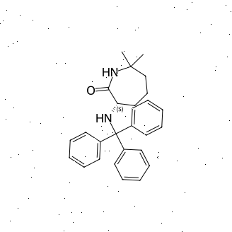 CC1(C)CCC[C@H](NC(c2ccccc2)(c2ccccc2)c2ccccc2)C(=O)N1